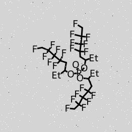 CCC(CC(F)(F)C(F)(F)C(F)(F)CF)OP(=O)(OC(CC)CC(F)(F)C(F)(F)C(F)(F)CF)OC(CC)CC(F)(F)C(F)(F)C(F)(F)CF